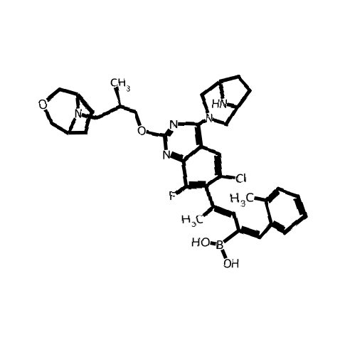 C/C(=C\C(=C/c1ccccc1C)B(O)O)c1c(Cl)cc2c(N3CC4CCC(C3)N4)nc(OC[C@H](C)CN3C4CCC3COC4)nc2c1F